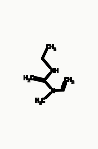 C=CN(C)C(=C)NCC